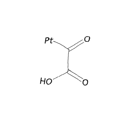 O=C(O)[C](=O)[Pt]